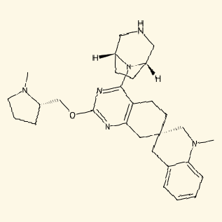 CN1C[C@]2(CCc3c(nc(OC[C@@H]4CCCN4C)nc3N3[C@@H]4CC[C@H]3CNC4)C2)Cc2ccccc21